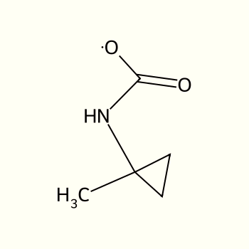 CC1(NC([O])=O)CC1